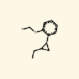 CCC1CC1c1ccccc1OCF